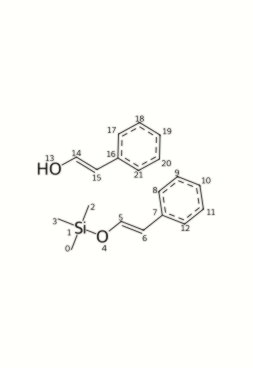 C[Si](C)(C)OC=Cc1ccccc1.OC=Cc1ccccc1